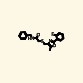 Cc1oc(-c2ccccc2F)nc1CSCC(=O)NCc1ccccc1